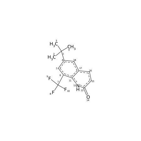 CC(C)(C)c1cc(C(F)(F)F)c2[nH]c(=O)ccc2c1